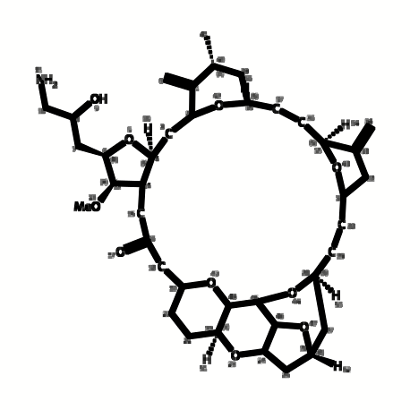 C=C1C2C[C@@H]3O[C@H](CC(O)CN)[C@H](OC)C3CC(=O)CC3CC[C@@H]4OC5C[C@H]6C[C@H](CCC7CC(=C)[C@H](CC[C@@H](C[C@H]1C)O2)O7)OC(C5O6)C4O3